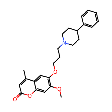 COc1cc2oc(=O)cc(C)c2cc1OCCCN1CCC(c2ccccc2)CC1